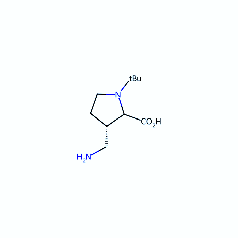 CC(C)(C)N1CC[C@@H](CN)C1C(=O)O